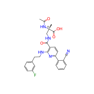 CC(=O)N[C@@](C)(CNC(=O)c1ccc(-c2ccccc2C#N)nc1NCCc1cccc(F)c1)C(=O)O